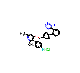 Cc1cc(OCc2ccc(-c3ccccc3-c3nnn[nH]3)cc2)c(-c2ccc(F)cc2)c(C)n1.Cl